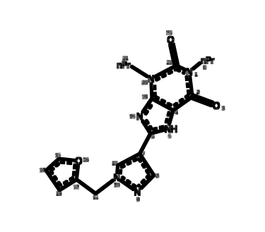 CCCn1c(=O)c2[nH]c(-c3cnn(Cc4ccco4)c3)nc2n(CCC)c1=O